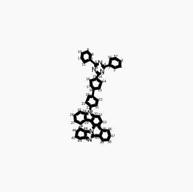 c1ccc(-c2nc(-c3ccccc3)nc(-c3ccc(-c4ccc(-n5c6ccccc6c6c5ccc5c7ccccc7c7nc8ccccc8n7c56)cc4)cc3)n2)cc1